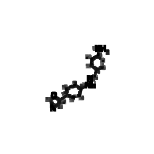 Nc1ccc(/C=N/Nc2ccc(-c3cnco3)cc2)cc1